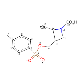 Cc1ccc(S(=O)(=O)OCC2CN(C(=O)O)C2C(C)(C)C)cc1